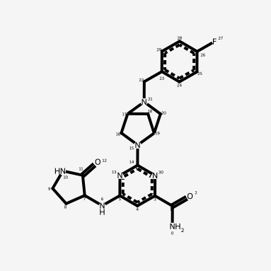 NC(=O)c1cc(NC2CCNC2=O)nc(N2CC3CC2CN3Cc2ccc(F)cc2)n1